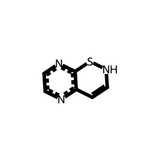 C1=Cc2nccnc2SN1